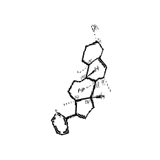 C[C@H]1C=C2C[C@@H](O)CC[C@]2(C)[C@H]2CC[C@]3(C)C(c4cccs4)=CC[C@H]3[C@H]12